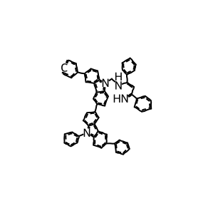 N=C(/C=C(\NCn1c2ccc(-c3ccccc3)cc2c2cc(-c3ccc4c(c3)c3cc(-c5ccccc5)ccc3n4-c3ccccc3)ccc21)c1ccccc1)c1ccccc1